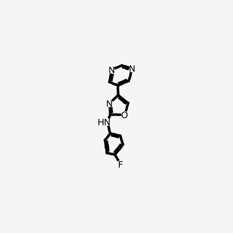 Fc1ccc(Nc2nc(-c3cncnc3)co2)cc1